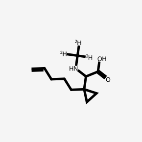 [2H]C([2H])([2H])NC(C(=O)O)C1(CCCC=C)CC1